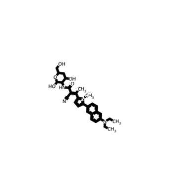 CCN(CC)c1ccc2cc(-c3ccc(/C(C)=C(\C#N)C(=O)NC4C(O)CC(CO)OC4O)n3C)ccc2c1